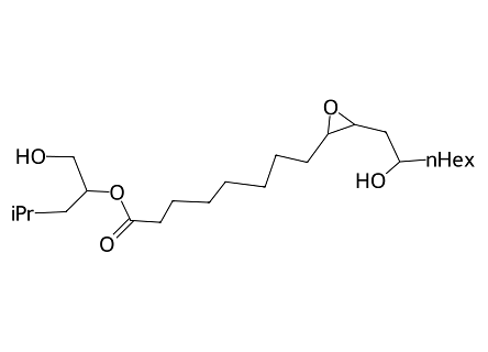 CCCCCCC(O)CC1OC1CCCCCCCC(=O)OC(CO)CC(C)C